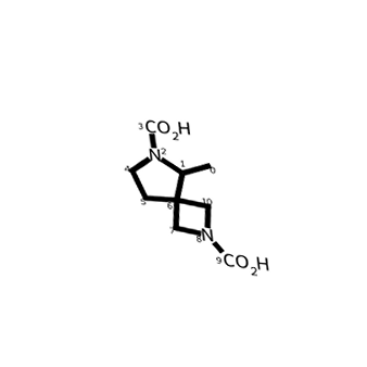 CC1N(C(=O)O)CCC12CN(C(=O)O)C2